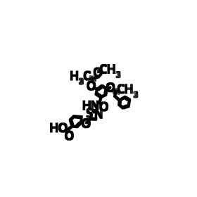 COC[C@H](C)Oc1cc(O[C@@H](C)Cc2ccccc2)cc(C(=O)Nc2ncc(Oc3cccc(C(=O)O)c3)s2)c1